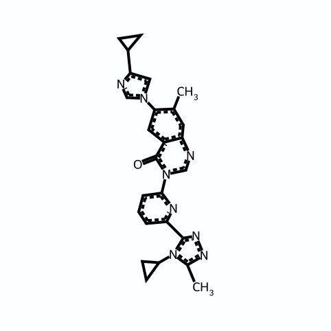 Cc1cc2ncn(-c3cccc(-c4nnc(C)n4C4CC4)n3)c(=O)c2cc1-n1cnc(C2CC2)c1